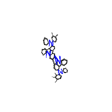 Cc1ccc(N(c2ccccc2)c2ccc3c4cc5c(cc4n4c6ccccc6c2c34)c2ccc(N(c3ccccc3)c3ccc(C)c(C)c3C)c3c4ccccc4n5c23)cc1C